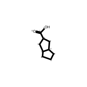 O=C(O)C1CC2CCCC2C1